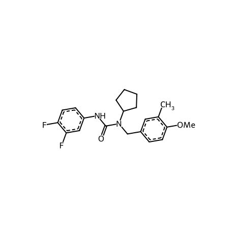 COc1ccc(CN(C(=O)Nc2ccc(F)c(F)c2)C2CCCC2)cc1C